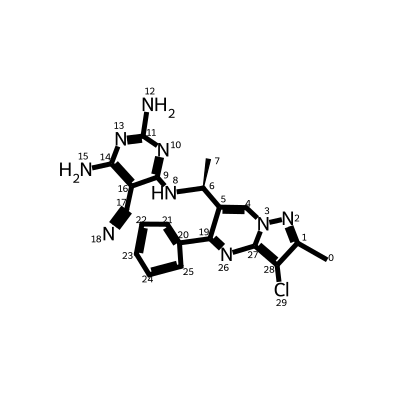 Cc1nn2cc([C@H](C)Nc3nc(N)nc(N)c3C#N)c(-c3ccccc3)nc2c1Cl